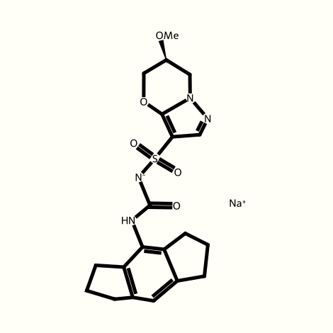 CO[C@@H]1COc2c(S(=O)(=O)[N-]C(=O)Nc3c4c(cc5c3CCC5)CCC4)cnn2C1.[Na+]